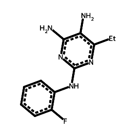 CCc1nc(Nc2ccccc2F)nc(N)c1N